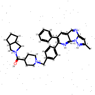 Cc1cc2ncc3cc(-c4ccccc4)c(-c4ccc(CN5CCC(C(=O)N6CC7CCCC7C6)CC5)cc4)nc3n2n1